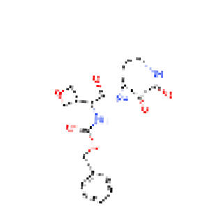 O=C(NC(C(=O)NC1CCCNC(=O)C1=O)C1COC1)OCc1ccccc1